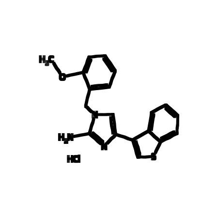 COc1ccccc1Cn1cc(-c2csc3ccccc23)nc1N.Cl